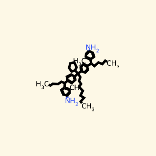 CCCCCCCCCC(c1ccc(C(CCCCC)c2ccc(N)cc2C)cc1)(c1ccc(C(CCCCC)c2ccc(N)cc2C)cc1)C1CCCCC1